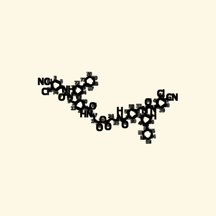 N#Cc1ccc(NC(=O)N(Cc2ccc(C(=O)NCCC(=O)OC(=O)CCNC(=O)c3ccc(CN(C(=O)Nc4ccc(C#N)c(Cl)c4)c4ccc(C5CCCCC5)cc4)cc3)cc2)c2ccc(C3=CCCCC3)cc2)cc1Cl